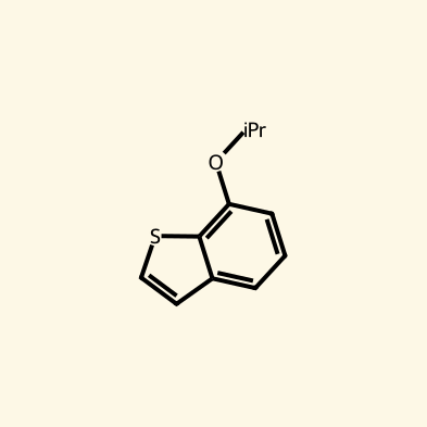 CC(C)Oc1cccc2ccsc12